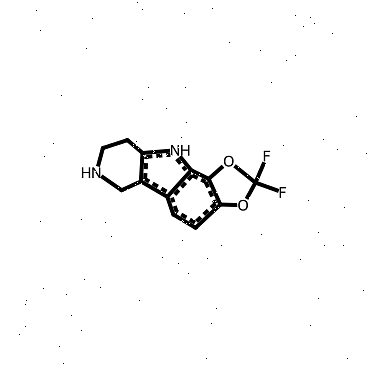 FC1(F)Oc2ccc3c4c([nH]c3c2O1)CCNC4